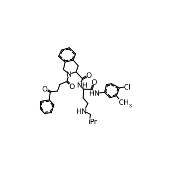 Cc1cc(NC(=O)C(CCNCC(C)C)NC(=O)C2Cc3ccccc3CN2C(=O)CCC(=O)c2ccccc2)ccc1Cl